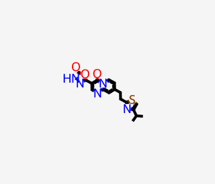 CC(C)c1csc(CCc2ccn3c(=O)c(-c4n[nH]c(=O)o4)cnc3c2)n1